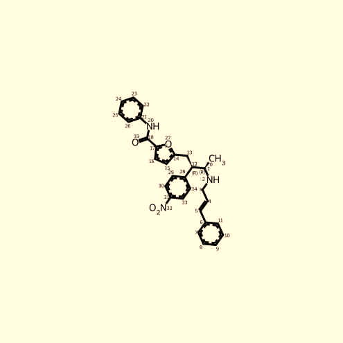 C[C@@H](NCC=Cc1ccccc1)[C@H](Cc1ccc(C(=O)Nc2ccccc2)o1)c1ccc([N+](=O)[O-])cc1